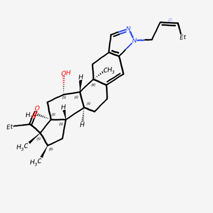 CC/C=C\Cn1ncc2c1C=C1CC[C@@H]3[C@H]([C@@H](O)C[C@@]4(C)[C@H]3C[C@@H](C)[C@]4(C)C(=O)CC)[C@@]1(C)C2